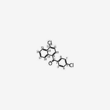 O=C(c1ccc(Cl)cc1)c1ccc(Cl)c2ccccc12